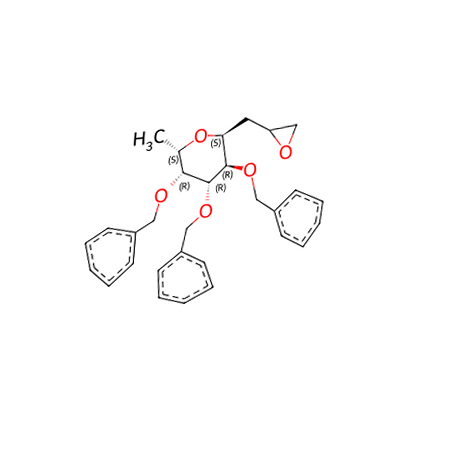 C[C@@H]1O[C@@H](CC2CO2)[C@@H](OCc2ccccc2)[C@H](OCc2ccccc2)[C@@H]1OCc1ccccc1